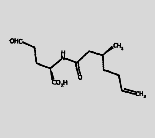 C=CCC[C@H](C)CC(=O)N[C@H](CC[C]=O)C(=O)O